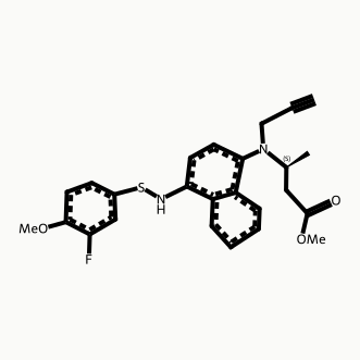 C#CCN(c1ccc(NSc2ccc(OC)c(F)c2)c2ccccc12)[C@@H](C)CC(=O)OC